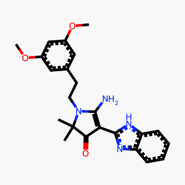 COc1cc(CCN2C(N)=C(c3nc4ccccc4[nH]3)C(=O)C2(C)C)cc(OC)c1